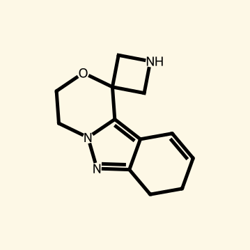 C1=Cc2c(nn3c2C2(CNC2)OCC3)CC1